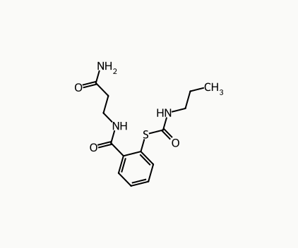 CCCNC(=O)Sc1ccccc1C(=O)NCCC(N)=O